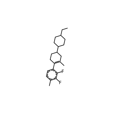 CCC1CCC(C2CCC(c3ccc(C)c(F)c3F)=C(C)C2)CC1